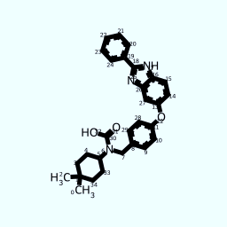 CC1(C)CCC(N(Cc2ccc(Oc3ccc4[nH]c(-c5ccccc5)nc4c3)cc2)C(=O)O)CC1